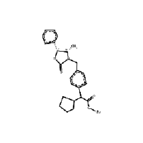 C[C@H]1[C@@H](c2ccccc2)OC(=O)N1Cc1ccc(C(C(=O)OC(C)(C)C)C2CCCC2)cc1